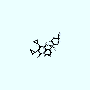 O=C1C(N2CC2)=C(N2CC2)C(=O)c2c1cccc2S(=O)(=O)c1ccc(Cl)cc1